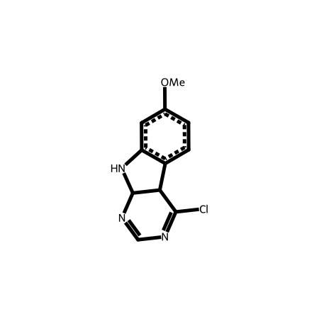 COc1ccc2c(c1)NC1N=CN=C(Cl)C21